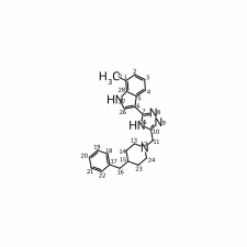 Cc1cccc2c(-c3nnc(CN4CCC(Cc5ccccc5)CC4)[nH]3)c[nH]c12